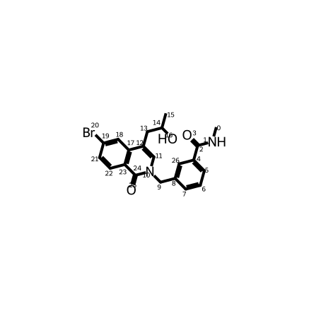 CNC(=O)c1cccc(Cn2cc(CC(C)O)c3cc(Br)ccc3c2=O)c1